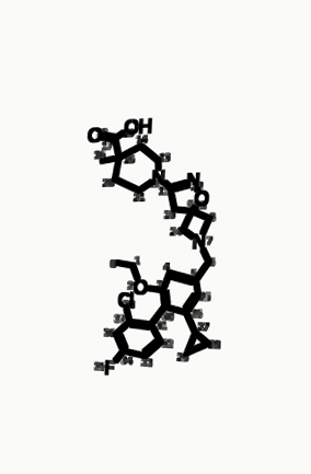 CCOc1cc(CN2CC3(CC(N4CCC(C)(C(=O)O)CC4)=NO3)C2)cc(C2CC2)c1-c1ccc(F)cc1Cl